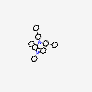 c1ccc(-c2ccc(N(c3ccc(-c4ccccc4)cc3)c3c4ccccc4cc4c3c3ccccc3n4-c3ccccc3)cc2)cc1